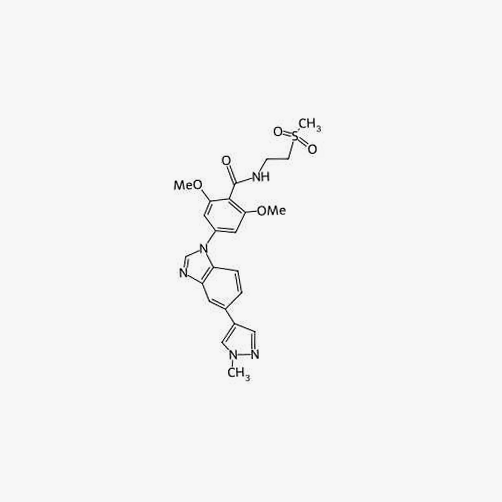 COc1cc(-n2cnc3cc(-c4cnn(C)c4)ccc32)cc(OC)c1C(=O)NCCS(C)(=O)=O